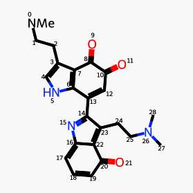 CNCCc1c[nH]c2c1C(=O)C(=O)C=C2C1=NC2=CC=CC(=O)C2=C1CCN(C)C